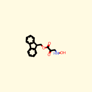 O=C(CNO)C(=O)OCC1c2ccccc2-c2ccccc21